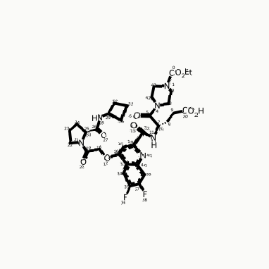 CCOC(=O)N1CCN(C(=O)[C@H](CCC(=O)O)NC(=O)c2cc(OCC(=O)N3CCC[C@H]3C(=O)NC3CCC3)c3cc(F)c(F)cc3n2)CC1